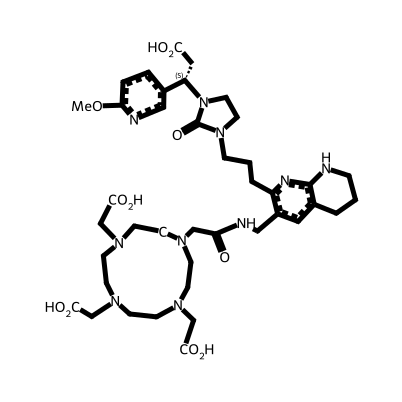 COc1ccc([C@H](CC(=O)O)N2CCN(CCCc3nc4c(cc3CNC(=O)CN3CCN(CC(=O)O)CCN(CC(=O)O)CCN(CC(=O)O)CC3)CCCN4)C2=O)cn1